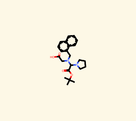 CC(C)(C)OC(=O)C(N1CCCC1)N(CC(=O)O)Cc1cccc2ccccc12